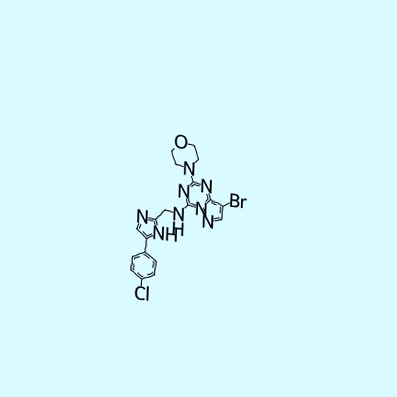 Clc1ccc(-c2cnc(CNc3nc(N4CCOCC4)nc4c(Br)cnn34)[nH]2)cc1